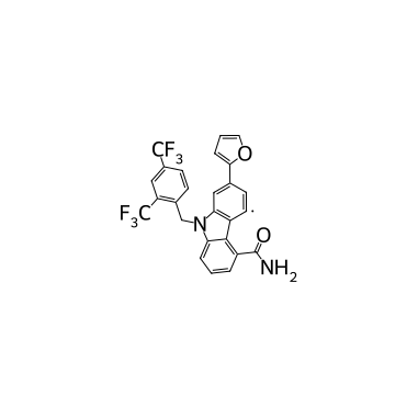 NC(=O)c1cccc2c1c1[c]cc(-c3ccco3)cc1n2Cc1ccc(C(F)(F)F)cc1C(F)(F)F